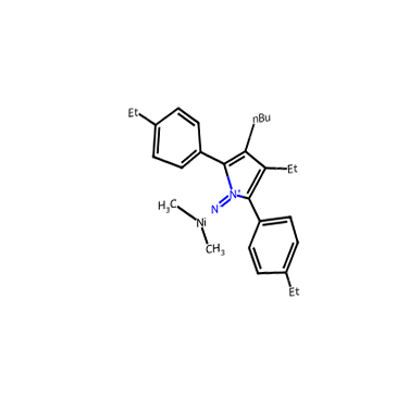 CCCCC1=C(c2ccc(CC)cc2)[N+](=[N-])C(c2ccc(CC)cc2)=C1CC.[CH3][Ni][CH3]